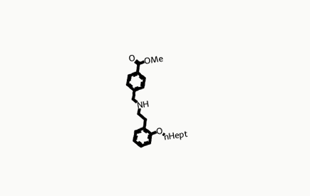 CCCCCCCOc1ccccc1CCNCc1ccc(C(=O)OC)cc1